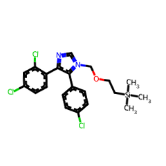 C[Si](C)(C)CCOCn1cnc(-c2ccc(Cl)cc2Cl)c1-c1ccc(Cl)cc1